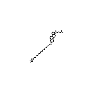 CC(C)CCCC(C)C1CCC2C3CC=C4C[C@@H](OCCCCCCCCCCCCCCCCSC(C)(C)C)CCC4(C)C3CCC12C